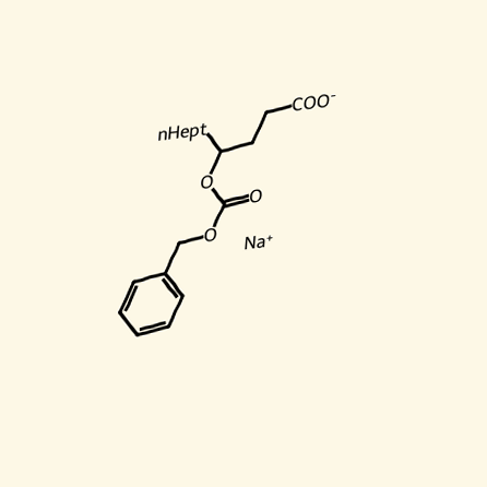 CCCCCCCC(CCC(=O)[O-])OC(=O)OCc1ccccc1.[Na+]